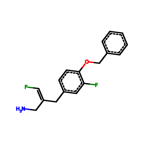 NCC(=CF)Cc1ccc(OCc2ccccc2)c(F)c1